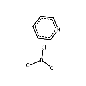 ClB(Cl)Cl.c1ccncc1